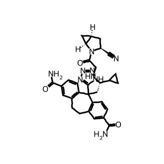 N#C[C@@H]1C[C@@H]2C[C@@H]2N1C(=O)CN[C@@H](CC1(c2nnn[nH]2)c2ccc(C(N)=O)cc2CCc2cc(C(N)=O)ccc21)C1CC1